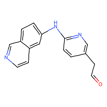 O=CCc1ccc(Nc2ccc3cnccc3c2)nc1